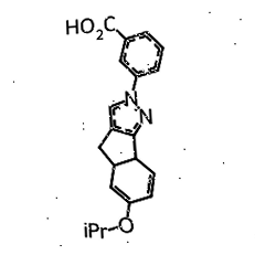 CC(C)OC1=CC2Cc3cn(-c4cccc(C(=O)O)c4)nc3C2C=C1